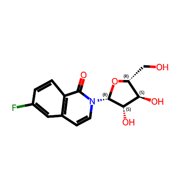 O=c1c2ccc(F)cc2ccn1[C@@H]1O[C@H](CO)[C@@H](O)[C@@H]1O